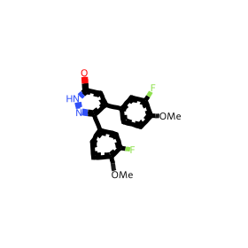 COc1ccc(-c2cc(=O)[nH]nc2-c2ccc(OC)c(F)c2)cc1F